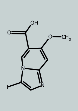 COc1cc2ncc(I)n2cc1C(=O)O